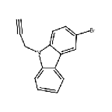 C#CCn1c2ccccc2c2cc(Br)ccc21